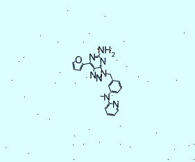 CN(c1cccc(Cn2nnc3c(-c4ccco4)nc(N)nc32)c1)c1ccccn1